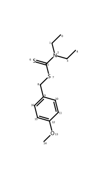 CCN(CC)C(=S)SCc1ccc(OC)cc1